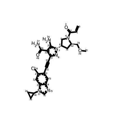 C=CC(=O)N1C[C@@H](n2nc(C#Cc3cc4ncn(C5CC5)c4cc3Cl)c(C(N)=O)c2N)C[C@@H]1COC